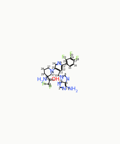 Nc1ncnc2c1ncn2Cc1cc(-c2ccc(F)c(F)c2F)ncc1N1CCCC(N)([C@H](O)C(F)F)C1